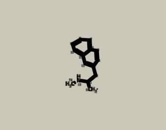 [CH2]C(Cc1ccc2ccccc2c1)NC